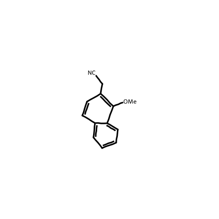 COc1c(CC#N)ccc2ccccc12